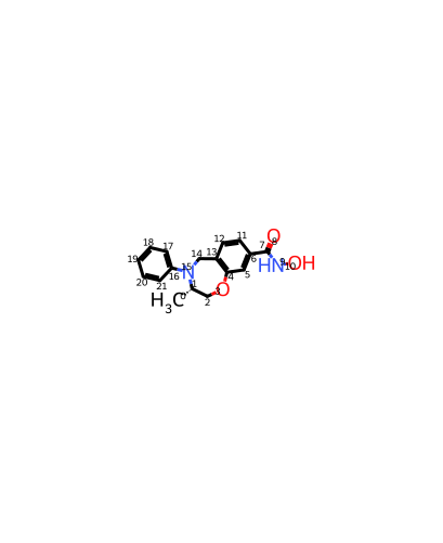 C[C@H]1COc2cc(C(=O)NO)ccc2CN1c1ccccc1